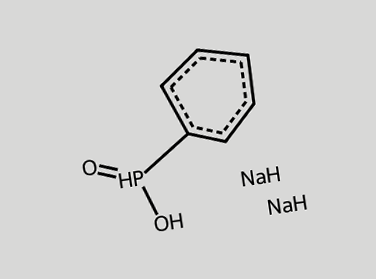 O=[PH](O)c1ccccc1.[NaH].[NaH]